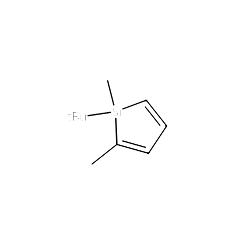 CC1=CC=C[Si]1(C)C(C)(C)C